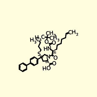 C=CCCCCC[C@H](NC(=O)OC(C)(C)C)C(=O)N1C[C@](SCCCC)(c2ccc(-c3ccccc3)cc2)C[C@H]1C(=O)O